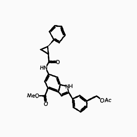 COC(=O)c1cc(NC(=O)C2C[C@H]2c2ccccc2)cc2[nH]c(-c3cccc(COC(C)=O)c3)cc12